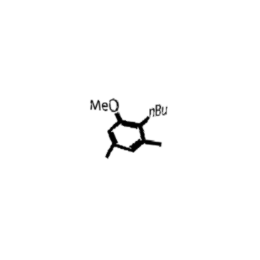 CCCCc1c(C)cc(C)cc1OC